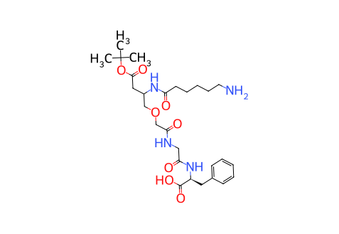 CC(C)(C)OC(=O)CC(COCC(=O)NCC(=O)N[C@@H](Cc1ccccc1)C(=O)O)NC(=O)CCCCCN